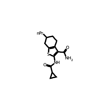 CCCC1CCc2c(sc(NC(=O)C3CC3)c2C(N)=O)C1